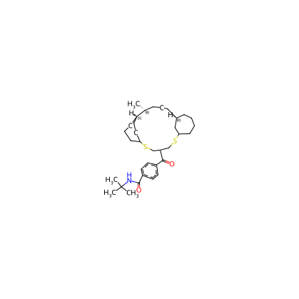 C[C@@H]1CCC[C@H]2CCCCC(C2)SCC(C(=O)c2ccc(C(=O)NC(C)(C)C)cc2)CSC2CCC[C@H]1CC2